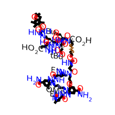 CCn1nc(C)cc1C(=O)Nc1nc2cc(C(N)=O)cc(OC)c2n1C/C=C/Cn1c(NC(=O)c2cc(C)nn2CC)nc2cc(C(N)=O)cc(OCCCNC(=O)CCNC(=O)OCCSSC[C@H](NC(=O)[C@H](CC(=O)OC(C)(C)C)NC(=O)[C@H](CC(=O)OC(C)(C)C)NC(=O)[C@H](CCCNC(=N)NS(=O)(=O)c3c(C)c(C)c4c(c3C)CC(C)(C)O4)NC(=O)[C@@H](N)CC(=O)O)C(=O)O)c21